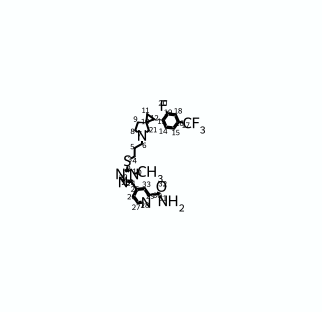 Cn1c(SCCCN2CC[C@]3(C[C@@H]3c3ccc(C(F)(F)F)cc3F)C2)nnc1-c1ccnc(C(N)=O)c1